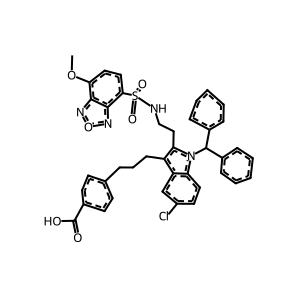 COc1ccc(S(=O)(=O)NCCc2c(CCCc3ccc(C(=O)O)cc3)c3cc(Cl)ccc3n2C(c2ccccc2)c2ccccc2)c2nonc12